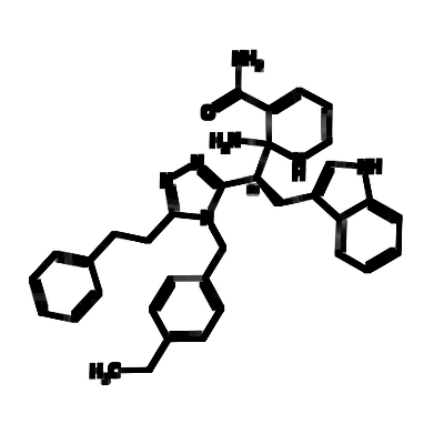 CCc1ccc(Cn2c(CCc3ccccc3)nnc2[C@H](Cc2c[nH]c3ccccc23)C2(N)NC=CC=C2C(N)=O)cc1